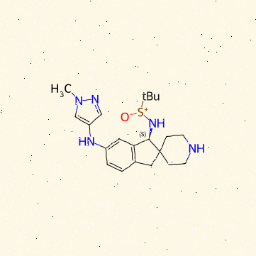 Cn1cc(Nc2ccc3c(c2)[C@@H](N[S+]([O-])C(C)(C)C)C2(CCNCC2)C3)cn1